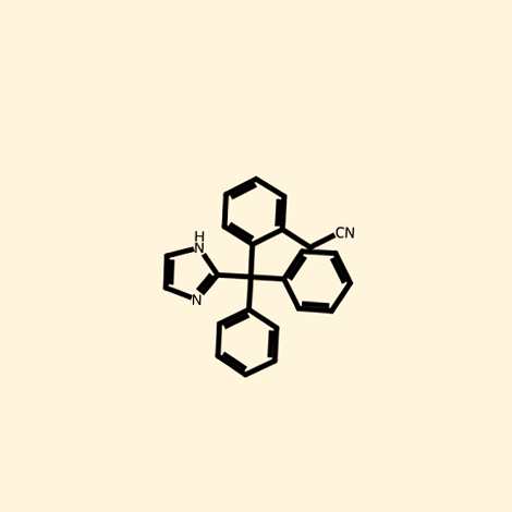 N#CCc1ccccc1C(c1ccccc1)(c1ccccc1)c1ncc[nH]1